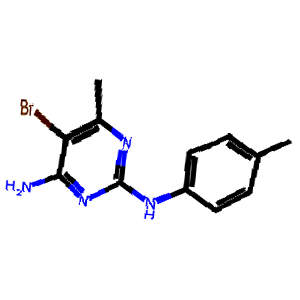 Cc1ccc(Nc2nc(C)c(Br)c(N)n2)cc1